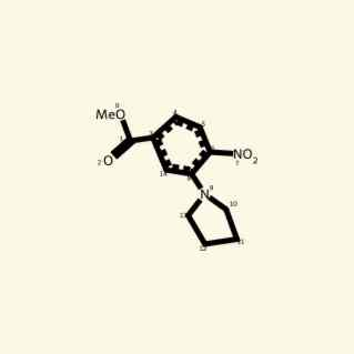 COC(=O)c1ccc([N+](=O)[O-])c(N2CCCC2)c1